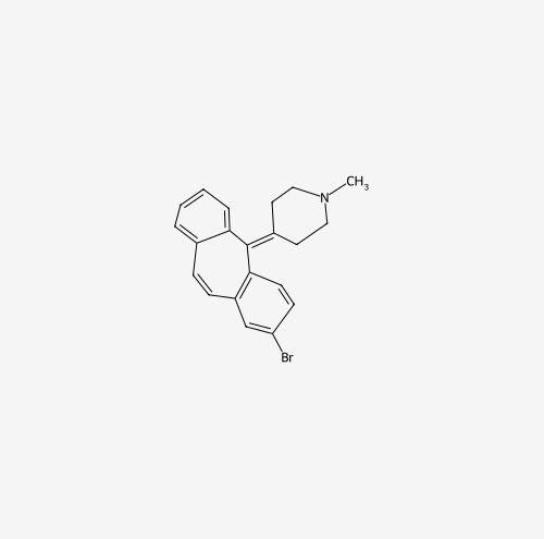 CN1CCC(=C2c3ccccc3C=Cc3cc(Br)ccc32)CC1